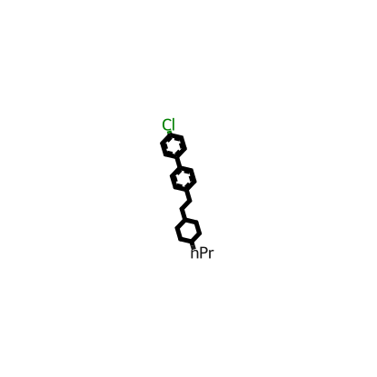 CCCC1CCC(CCc2ccc(-c3ccc(Cl)cc3)cc2)CC1